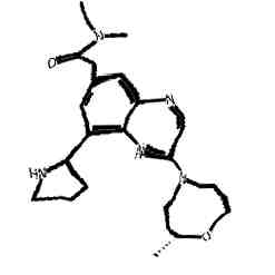 C[C@@H]1CN(c2cnc3cc(C(=O)N(C)C)cc(C4CCCN4)c3n2)CCO1